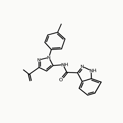 C=C(C)c1cc(NC(=O)c2n[nH]c3ccccc23)n(-c2ccc(C)cc2)n1